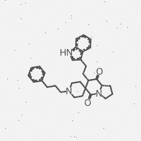 O=C1C2CCCN2C(=O)C2(CCN(CCCc3ccccc3)CC2)C1CCc1c[nH]c2ccccc12